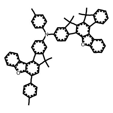 Cc1ccc(-c2cc3c(c4c2oc2ccccc24)-c2ccc(N(c4ccc(C)cc4)c4ccc5c(c4)C(C)(C)c4c6c(c7c(oc8ccccc87)c4-5)-c4ccccc4C6(C)C)cc2C3(C)C)cc1